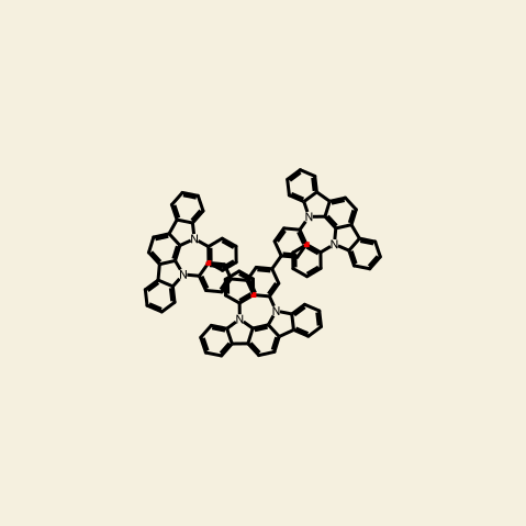 c1ccc(-n2c3ccccc3c3ccc4c5ccccc5n(-c5ccc(-c6cc(-c7ccc(-n8c9ccccc9c9ccc%10c%11ccccc%11n(-c%11ccccc%11)c%10c98)cc7)cc(-n7c8ccccc8c8ccc9c%10ccccc%10n(-c%10ccccc%10)c9c87)c6)cc5)c4c32)cc1